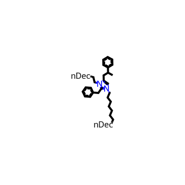 CCCCCCCCCCCCCCCCCn1cc(CC(C)c2ccccc2)[n+](CCCCCCCCCCCC)c1Cc1ccccc1